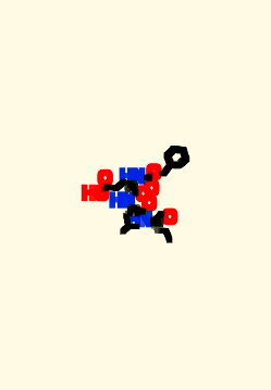 CCC[C@@H](C=O)NC(=O)[C@H](CC(C)C)NC(=O)[C@H](CCC(=O)O)NC(=O)OCc1ccccc1